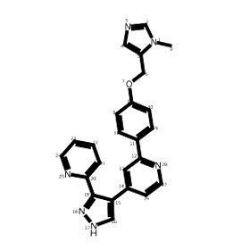 Cn1cncc1COc1ccc(-c2cc(-c3c[nH]nc3-c3ccccn3)ccn2)cc1